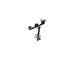 CCC(CC)NC(=O)NCCCCCC(=O)O[C@H](CCc1ccc(OC)c(OC)c1)c1cccc(OCCN2CCOCC2)c1